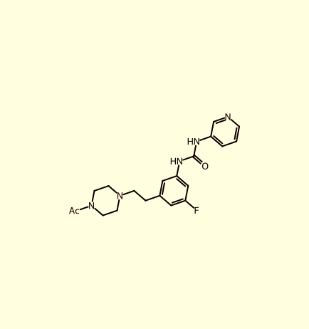 CC(=O)N1CCN(CCc2cc(F)cc(NC(=O)Nc3cccnc3)c2)CC1